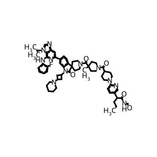 CCCC(C(=O)NC=O)c1ccc(N2CCC(C(=O)N3CCC(C)(C(=O)N4CCC5(CC4)C(=O)N(C4CC(N6CCCCC6)C4)c4cc(-c6cc7ncn(C(C)C)c7c(Nc7ccccc7F)n6)ccc45)CC3)CC2)nc1